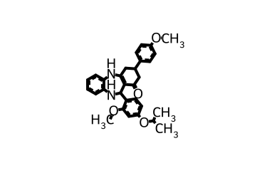 COc1ccc(C2CC(=O)C3=C(C2)Nc2ccccc2NC3c2ccc(OC(C)C)cc2OC)cc1